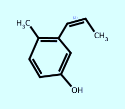 C/C=C\c1cc(O)ccc1C